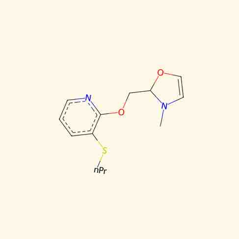 CCCSc1cccnc1OCC1OC=CN1C